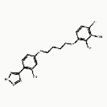 CCCc1c(OCCCCOc2ccc(-c3nn[nH]n3)c(C#N)c2)ccc(C(C)=O)c1O